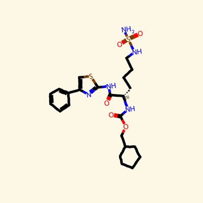 NS(=O)(=O)NCCCC[C@H](NC(=O)OCC1CCCCC1)C(=O)Nc1nc(-c2ccccc2)cs1